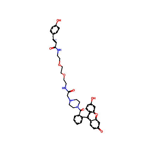 O=C(/C=C/c1ccc(O)cc1)NCCOCCOCCNC(=O)CN1CCN(C(=O)c2ccccc2-c2c3ccc(=O)cc-3oc3cc(O)ccc23)CC1